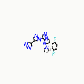 Fc1ccc(F)c([C@@H]2CCCN2c2ccn3ncc(-n4cc(-c5cncnc5)cn4)c3n2)c1